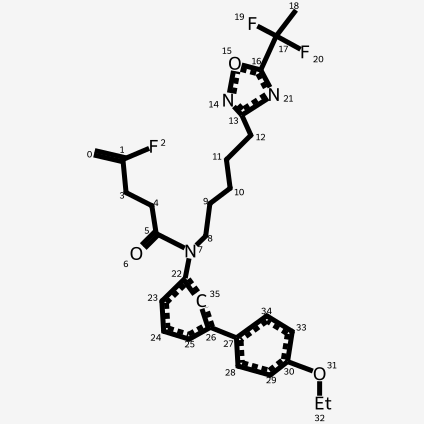 C=C(F)CCC(=O)N(CCCCCc1noc(C(C)(F)F)n1)c1cccc(-c2ccc(OCC)cc2)c1